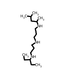 CCC(CC)NCCCNCCCNC(C)CC(C)C